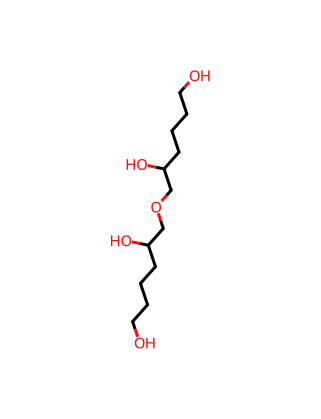 OCCCCC(O)COCC(O)CCCCO